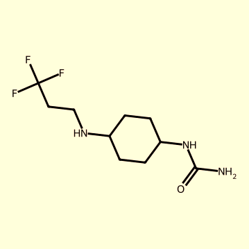 NC(=O)NC1CCC(NCCC(F)(F)F)CC1